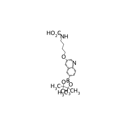 CC1(C)OB(c2ccc3ncc(OCCCCNC(=O)O)cc3c2)OC1(C)C